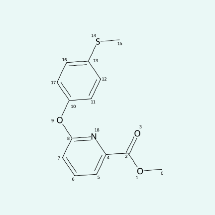 COC(=O)c1cccc(Oc2ccc(SC)cc2)n1